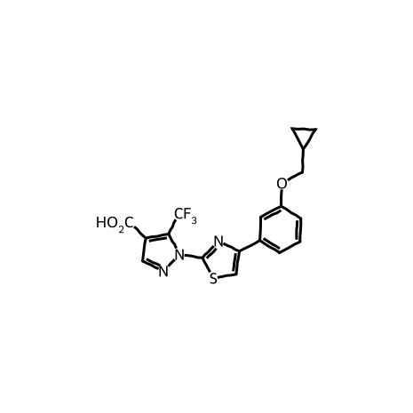 O=C(O)c1cnn(-c2nc(-c3cccc(OCC4CC4)c3)cs2)c1C(F)(F)F